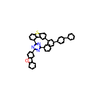 c1ccc(-c2ccc(-c3cccc(-c4ccc5sc6cccc(-c7nc(-c8ccccc8)nc(-c8ccc9oc%10ccccc%10c9c8)n7)c6c5c4)c3)cc2)cc1